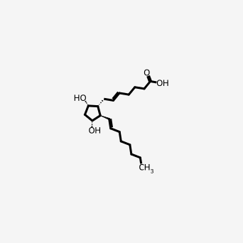 CCCCCCC=C[C@@H]1[C@@H](CC=CCCCC(=O)O)[C@@H](O)C[C@H]1O